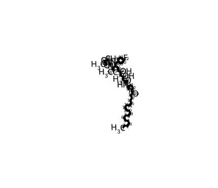 CC/C=C\C/C=C\C/C=C\C/C=C\C/C=C\CCCC(=O)N1CC[C@@H](NC(=O)C[C@H](O)C[C@H](O)/C=C/c2c(-c3ccc(F)cc3)nc(N(C)S(C)(=O)=O)nc2C(C)C)C1